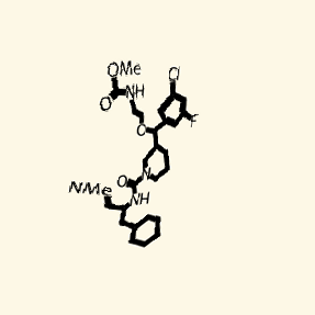 CNCC(CC1CCCCC1)NC(=O)N1CCCC(C(OCCNC(=O)OC)c2cc(F)cc(Cl)c2)C1